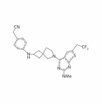 CNc1nc(N2CCC3(CC(Nc4ccc(CC#N)cc4)C3)C2)c2cc(CC(F)(F)F)sc2n1